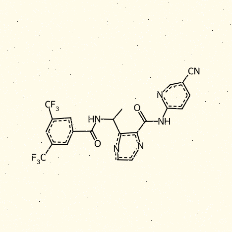 CC(NC(=O)c1cc(C(F)(F)F)cc(C(F)(F)F)c1)c1nccnc1C(=O)Nc1ccc(C#N)cn1